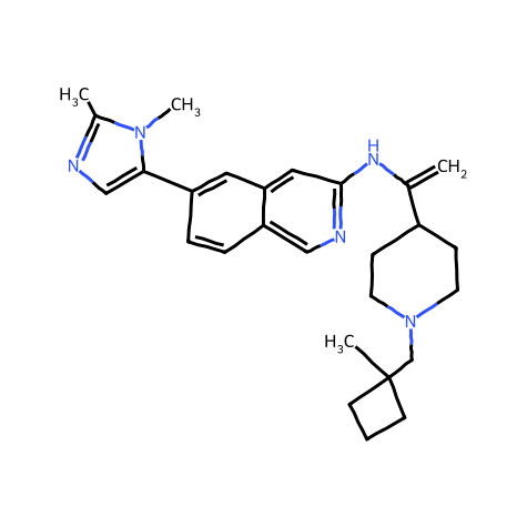 C=C(Nc1cc2cc(-c3cnc(C)n3C)ccc2cn1)C1CCN(CC2(C)CCC2)CC1